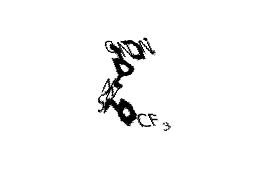 CN(C)C1CCN(C(=O)c2ccc(-c3cn4c(-c5ccc(C(F)(F)F)cc5)csc4n3)cc2)CC1